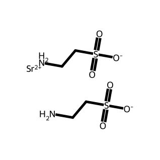 NCCS(=O)(=O)[O-].NCCS(=O)(=O)[O-].[Sr+2]